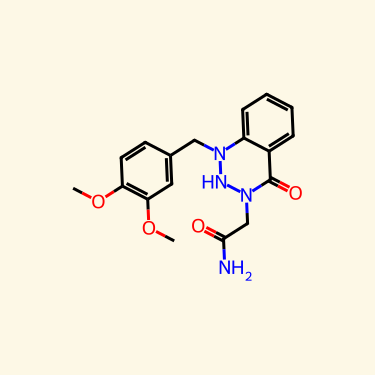 COc1ccc(CN2NN(CC(N)=O)C(=O)c3ccccc32)cc1OC